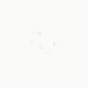 Cc1nc(Br)c([N+](=O)[O-])cc1Br